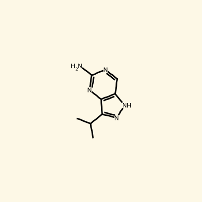 CC(C)c1n[nH]c2cnc(N)nc12